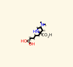 CN(C)[C@H]1CN[C@](CCCCB(O)O)(C(=O)O)C1